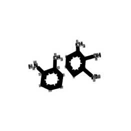 CCCCc1cccc(C)c1O.Cc1ccccc1N